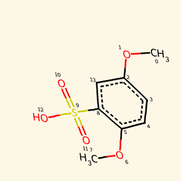 COc1ccc(OC)c(S(=O)(=O)O)c1